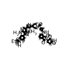 CCS(=O)(=O)Nc1ccc(-c2nn(C)c3c(-c4cnn(C5CCN(C(=O)[C@H]6C[C@H](Nc7cccc8c7C(=O)N(C7CCC(=O)NC7=O)C8=O)C6)CC5)c4)cnc(N)c23)cc1F